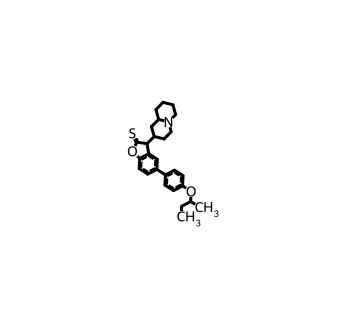 CCC(C)Oc1ccc(-c2ccc3c(c2)C(C2CCN4CCCCC4C2)C(=S)O3)cc1